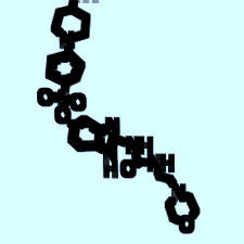 O=C(NCCN1CCOCC1)Nc1nc2cc(OS(=O)(=O)c3ccc(N4CCC(O)CC4)cc3)ccc2[nH]1